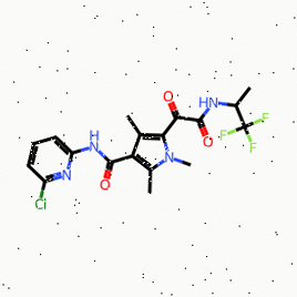 Cc1c(C(=O)Nc2cccc(Cl)n2)c(C)n(C)c1C(=O)C(=O)NC(C)C(F)(F)F